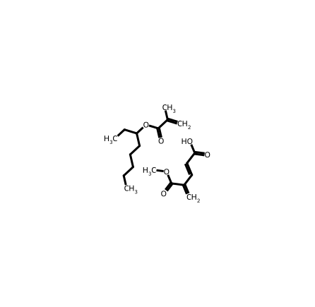 C=C(C)C(=O)OC(CC)CCCCC.C=C(C=CC(=O)O)C(=O)OC